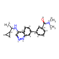 CC(Nc1cnnc2cc(-c3cccc(C(=O)N(C)C)c3)ccc12)C1CC1